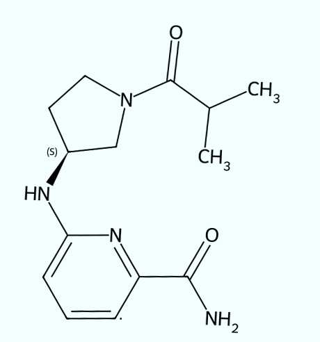 CC(C)C(=O)N1CC[C@H](Nc2cc[c]c(C(N)=O)n2)C1